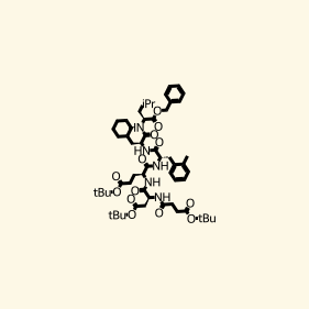 Cc1ccccc1C[C@H](NC(=O)[C@H](CCC(=O)OC(C)(C)C)NC(=O)[C@H](CC(=O)OC(C)(C)C)NC(=O)CCC(=O)OC(C)(C)C)C(=O)N[C@@H](CC1CCCCC1)C(=O)N[C@@H](CC(C)C)C(=O)OCc1ccccc1